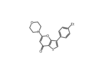 CCc1ccc(-c2csc3c(=O)cc(N4CCOCC4)oc23)cc1